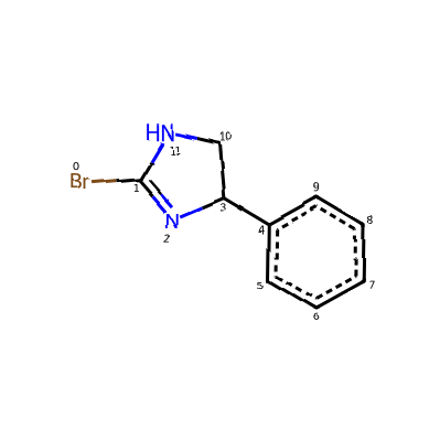 BrC1=NC(c2ccccc2)CN1